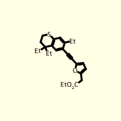 CCOC(=O)Cc1ccc(C#Cc2cc3c(cc2CC)SCCC3(CC)CC)o1